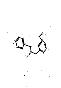 CCc1cncc(CN(C)Cc2ccccc2)c1